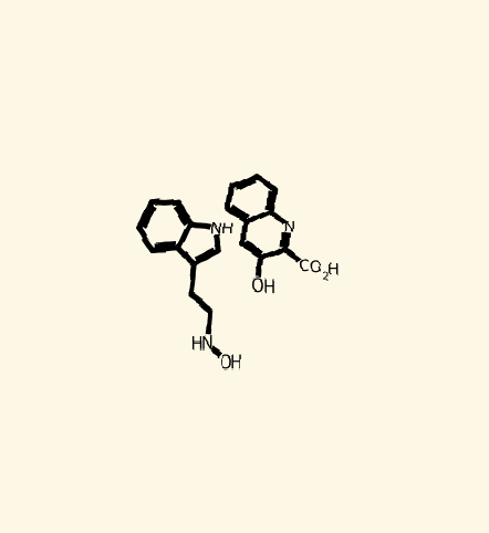 O=C(O)c1nc2ccccc2cc1O.ONCCc1c[nH]c2ccccc12